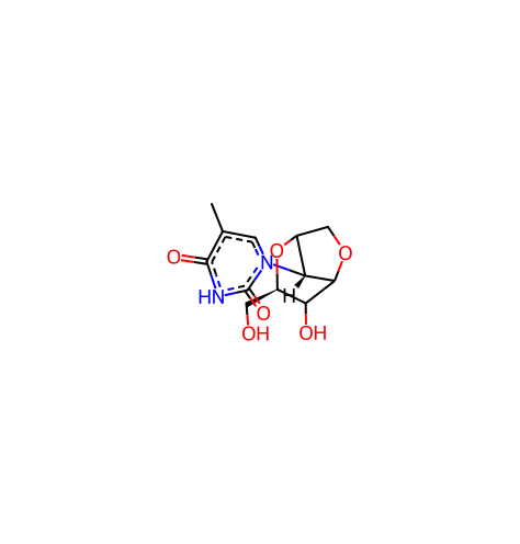 Cc1cn([C@@H]2C3COC2C(O)[C@@H](CO)O3)c(=O)[nH]c1=O